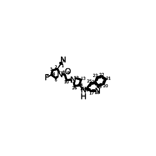 N#C[C@@H]1C[C@H](F)CN1C(=O)CN1CC[C@@H](Nc2cnc3ccccc3c2)C1